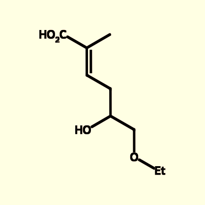 CCOCC(O)CC=C(C)C(=O)O